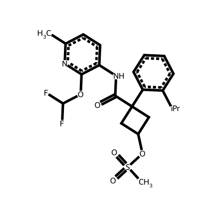 Cc1ccc(NC(=O)C2(c3ccccc3C(C)C)CC(OS(C)(=O)=O)C2)c(OC(F)F)n1